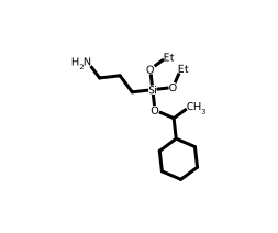 CCO[Si](CCCN)(OCC)OC(C)C1CCCCC1